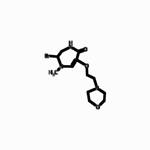 CN1C=C(OCCN2CCOCC2)C(=O)NCC1Br